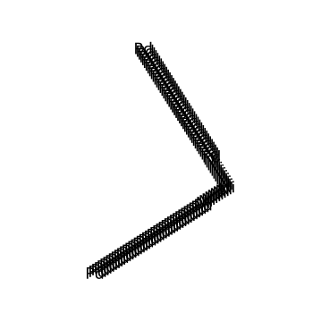 [Ni].[Ni].[Ni].[Ni].[Ni].[Ni].[Ni].[Ni].[Ni].[Ni].[Ni].[Ni].[Ni].[Ni].[Ni].[Ni].[Ni].[Ni].[Ni].[Ni].[Pd].[Pd].[Pd].[Pd].[Pd].[Pd].[Pd].[Pd].[Pd].[Pd].[Pd].[Pd].[Pd].[Pd].[Pd].[Pd].[Pd].[Pd].[Pd].[Pd].[Pd].[Pd].[Pd].[Pd].[Pd].[Pd].[Pd].[Pd].[Pd].[Pd].[Pd].[Pd].[Pd].[Pd].[Pd].[Pd].[Pd].[Pd].[Pd].[Pd].[Pd].[Pd].[Pd].[Pd].[Pd].[Pd].[Pd].[Pd].[Pd].[Pd].[Pd].[Pd].[Pd].[Pd].[Pd].[Pd].[Pd].[Pd].[Pd].[Pd].[Pd].[Pd].[Pd].[Pd].[Pd].[Pd].[Pd].[Pd].[Pd].[Pd].[Pd].[Pd].[Pd].[Pd].[Pd].[Pd].[Pd].[Pd].[Pd].[Pd]